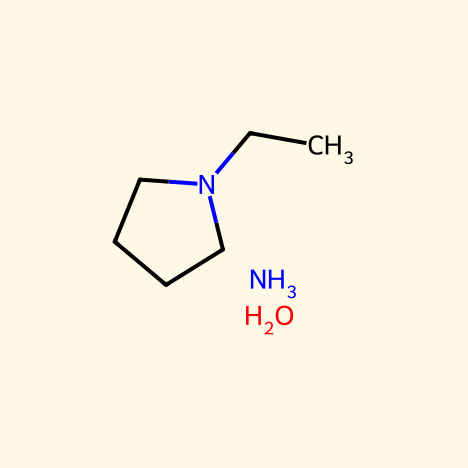 CCN1CCCC1.N.O